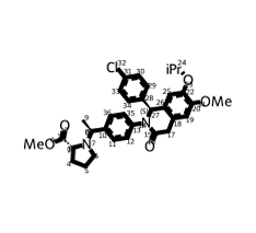 COC(=O)[C@H]1CCCN1[C@@H](C)c1ccc(N2C(=O)Cc3cc(OC)c(OC(C)C)cc3[C@@H]2c2ccc(Cl)cc2)cc1